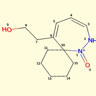 O=[N+]1NC=CC=C(CCO)C12CCCCC2